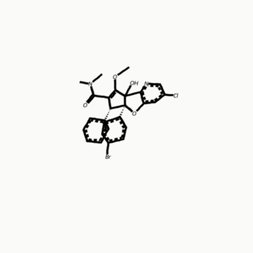 COC1=C(C(=O)N(C)C)[C@@H](c2ccccc2)[C@]2(c3ccc(Br)cc3)Oc3cc(Cl)cnc3C12O